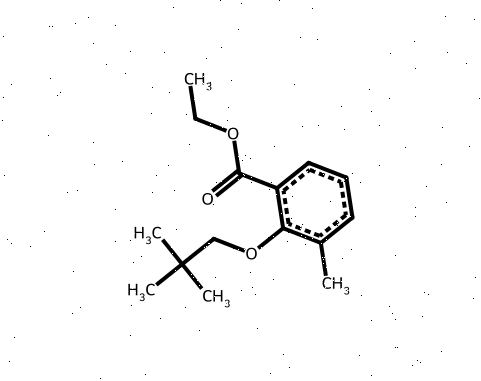 CCOC(=O)c1cccc(C)c1OCC(C)(C)C